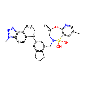 CC[C@@H]1CN(Cc2cc([C@@H](CC(=O)O)c3ccc4c(nnn4C)c3C)cc3c2CCC3)S(O)(O)c2cc(C)cnc2O1